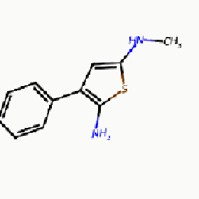 CNc1cc(-c2ccccc2)c(N)s1